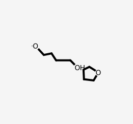 C1CCOC1.[O]CCCCO